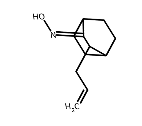 C=CCC1C(=NO)C2CCC1CC2